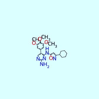 COc1cc(-c2cnc(N)nc2Nc2cc(C3CCCCC3)no2)cc(OC)c1OC